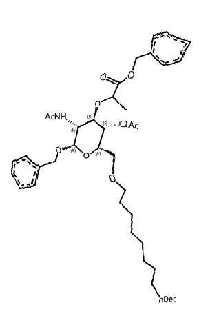 CCCCCCCCCCCCCCCCCCOC[C@H]1O[C@@H](OCc2ccccc2)[C@H](NC(C)=O)[C@@H](OC(C)C(=O)OCc2ccccc2)[C@@H]1OC(C)=O